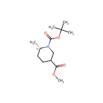 COC(=O)C1CC[C@H](C)N(C(=O)OC(C)(C)C)C1